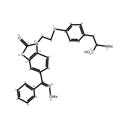 CNC(Cc1ccc(OCCn2c(=O)sc3cc(C(=NOC)c4ccccc4)ccc32)cc1)C(=O)O